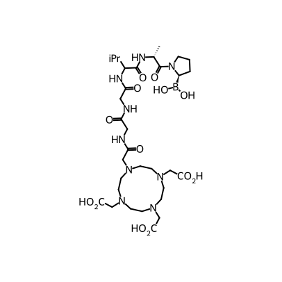 CC(C)C(NC(=O)CNC(=O)CNC(=O)CN1CCN(CC(=O)O)CCN(CC(=O)O)CCN(CC(=O)O)CC1)C(=O)N[C@H](C)C(=O)N1CCC[C@H]1B(O)O